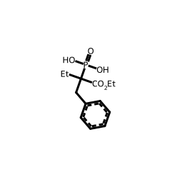 CCOC(=O)C(CC)(Cc1ccccc1)P(=O)(O)O